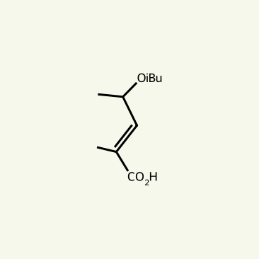 CC(=CC(C)OCC(C)C)C(=O)O